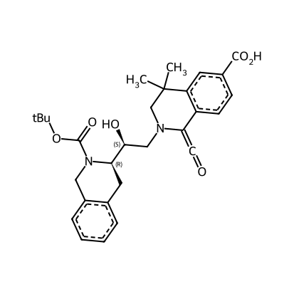 CC(C)(C)OC(=O)N1Cc2ccccc2C[C@@H]1[C@@H](O)CN1CC(C)(C)c2cc(C(=O)O)ccc2C1=C=O